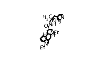 CCN1C[C@H](C(=O)NCC(C)(C)Cc2ccncc2)C[C@@H]2c3cccc4c3c(cn4CC)C[C@H]21